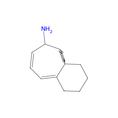 NC1C=CC=C2CCCCC23CC=CC=C13